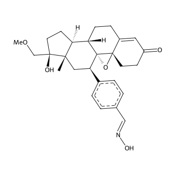 COC[C@]1(O)CC[C@H]2[C@@H]3CCC4=CC(=O)CC[C@]45O[C@]35[C@@H](c3ccc(/C=N/O)cc3)C[C@@]21C